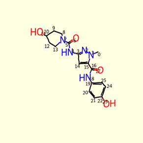 Cn1nc(NC(=O)N2CCC(O)CC2)cc1C(=O)Nc1ccc(O)cc1